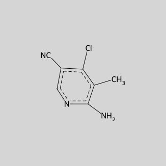 Cc1c(N)ncc(C#N)c1Cl